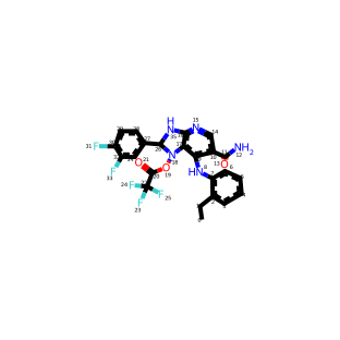 CCc1ccccc1Nc1c(C(N)=O)cnc2c1N(OC(=O)C(F)(F)F)C(c1ccc(F)c(F)c1)N2